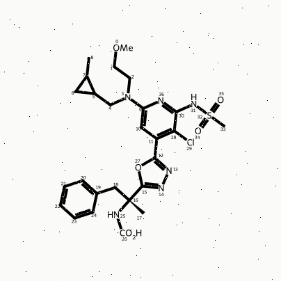 COCCN(CC1CC1C)c1cc(-c2nnc([C@@](C)(Cc3ccccc3)NC(=O)O)o2)c(Cl)c(NS(C)(=O)=O)n1